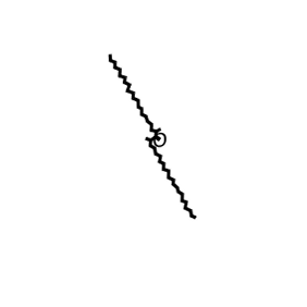 CCCCCCCCCCCCCCCCCCCCC(C)C(=O)C(C)CCCCCCCCCCCCCCCCCCCC